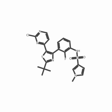 Cn1ccc(S(=O)(=O)Nc2cccc(-c3nc(C(C)(C)C)sc3-c3ccnc(Cl)n3)c2F)c1